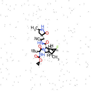 CC1C[C@@H](C[C@@H](C#N)NC(=O)[C@@H]2[C@@H]3[C@H](CN2C(=O)C(NC(=O)OC2CC2)C(C)(C)C)[C@@H](C)C2[C@@H]3[C@@H]2F)C(=O)N1